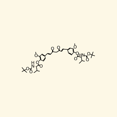 COc1cc(/C=C/C(=O)CC(=O)/C=C/c2ccc(OC(=O)[C@@H](NC(=O)OC(C)(C)C)C(C)C)c(OC)c2)ccc1OC(=O)[C@@H](NC(=O)OC(C)(C)C)C(C)C